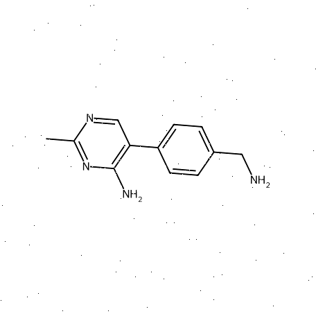 Cc1ncc(-c2ccc(CN)cc2)c(N)n1